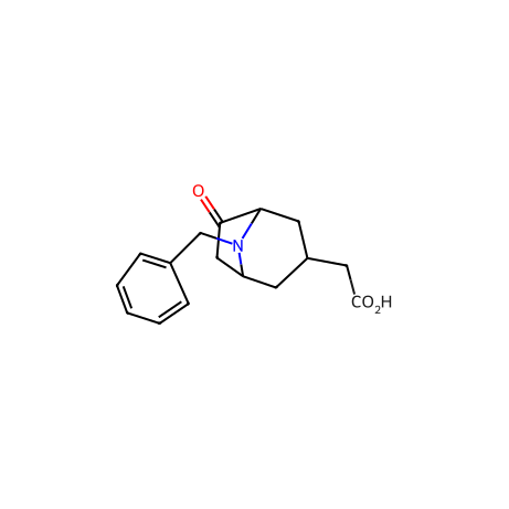 O=C(O)CC1CC2CC(=O)C(C1)N2Cc1ccccc1